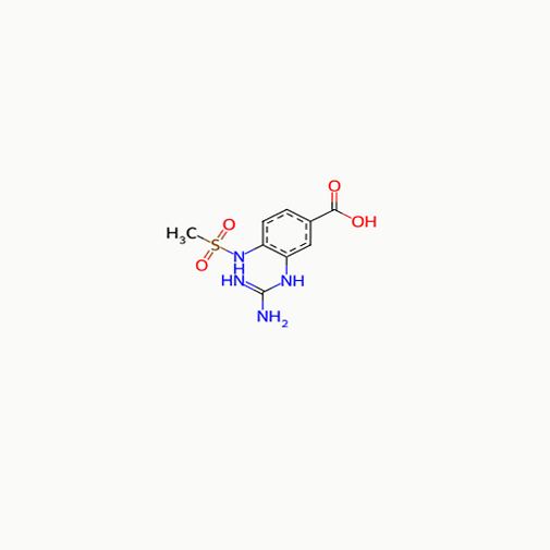 CS(=O)(=O)Nc1ccc(C(=O)O)cc1NC(=N)N